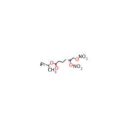 CC(C)C(C)OC(=O)CCC[C@H](CO[N+](=O)[O-])O[N+](=O)[O-]